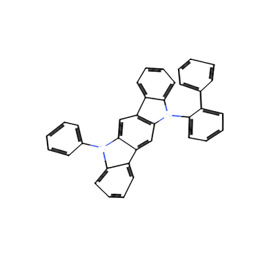 c1ccc(-c2ccccc2-n2c3ccccc3c3cc4c(cc32)c2ccccc2n4-c2ccccc2)cc1